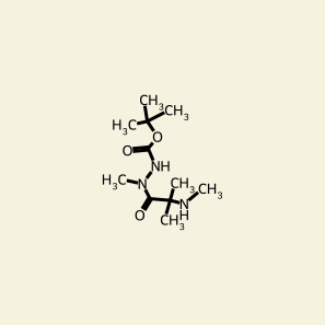 CNC(C)(C)C(=O)N(C)NC(=O)OC(C)(C)C